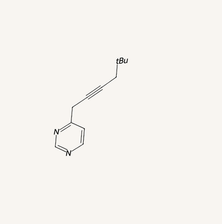 CC(C)(C)CC#CCc1ccncn1